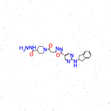 NNC(=O)C1CCN(C(=O)Cc2nnc(-c3cnc(NC4Cc5ccccc5C4)nc3)o2)CC1